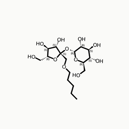 CCCCCOC[C@@]1(O[C@H]2O[C@H](CO)[C@@H](O)[C@H](O)[C@H]2O)O[C@H](CO)[C@@H](O)[C@@H]1O